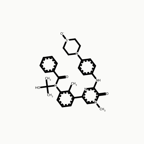 Cc1c(-c2cn(C)c(=O)c(Nc3ccc(N4CC[S+]([O-])CC4)cc3)n2)cccc1N(C(=O)c1ccccc1)C(C)(C)O